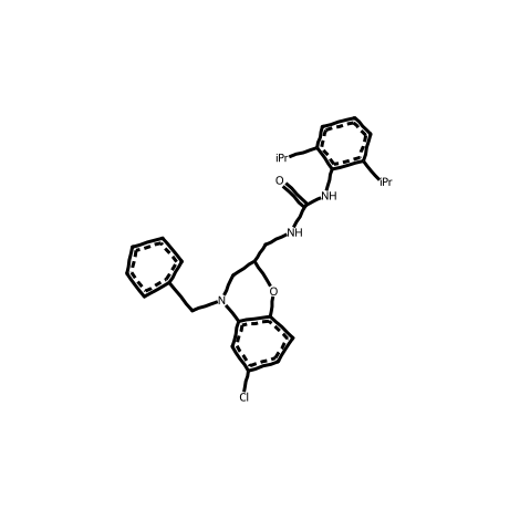 CC(C)c1cccc(C(C)C)c1NC(=O)NCC1CN(Cc2ccccc2)c2cc(Cl)ccc2O1